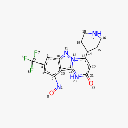 O=Nc1cc(C(F)(F)F)cc2nn3c(C4CCNCC4)cc(=O)[nH]c3c12